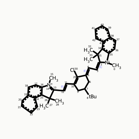 CN1/C(=C/C=C2\CC(C(C)(C)C)CC(/C=C/C3=[N+](C)c4ccc5ccccc5c4C3(C)C)=C2Cl)C(C)(C)c2c1ccc1ccccc21